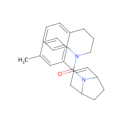 Cc1cccc(C2=CC3CCC(C2)N3C(=O)N2CCCc3ccccc32)c1